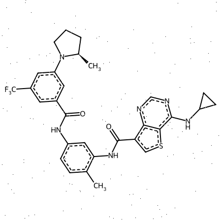 Cc1ccc(NC(=O)c2cc(N3CCC[C@H]3C)cc(C(F)(F)F)c2)cc1NC(=O)c1csc2c(NC3CC3)ncnc12